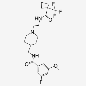 COc1cc(F)cc(C(=O)NCC2CCN(CCNC(=O)C3(C(F)(F)F)CCC3)CC2)c1